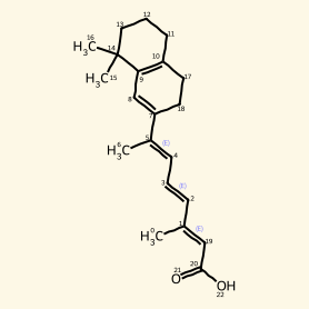 CC(/C=C/C=C(\C)C1=CC2=C(CCCC2(C)C)CC1)=C\C(=O)O